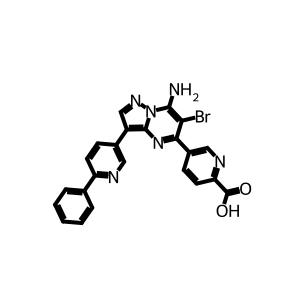 Nc1c(Br)c(-c2ccc(C(=O)O)nc2)nc2c(-c3ccc(-c4ccccc4)nc3)cnn12